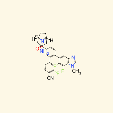 Cn1cnc2cc(-c3ccc(C(=O)N4[C@@H]5CC[C@H]4C[C@@H](N)C5)cc3-c3ccc(C#N)c(F)c3)c(F)c(F)c21